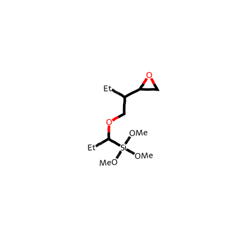 CCC(COC(CC)[Si](OC)(OC)OC)C1CO1